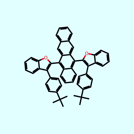 CC(C)(C)c1ccc(-c2c(-c3c4ccccc4c(-c4oc5ccccc5c4-c4ccc(C(C)(C)C)cc4)c4cc5ccccc5cc34)oc3ccccc23)cc1